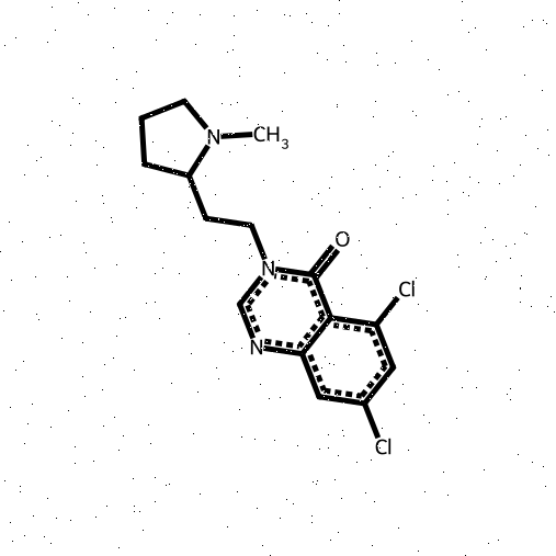 CN1CCCC1CCn1cnc2cc(Cl)cc(Cl)c2c1=O